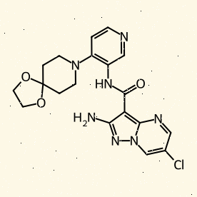 Nc1nn2cc(Cl)cnc2c1C(=O)Nc1cnccc1N1CCC2(CC1)OCCO2